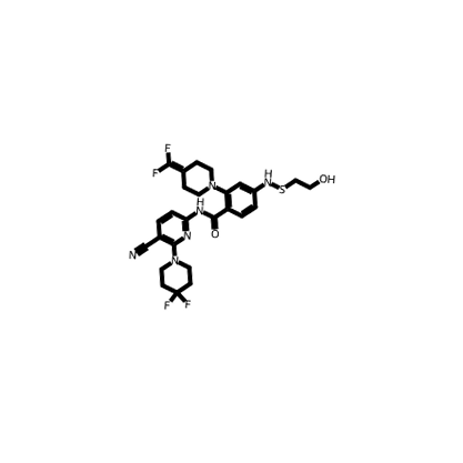 N#Cc1ccc(NC(=O)c2ccc(NSCCO)cc2N2CCC(=C(F)F)CC2)nc1N1CCC(F)(F)CC1